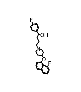 OC(CCCN1CCC(Oc2cccc3cccc(F)c23)CC1)c1ccc(F)cc1